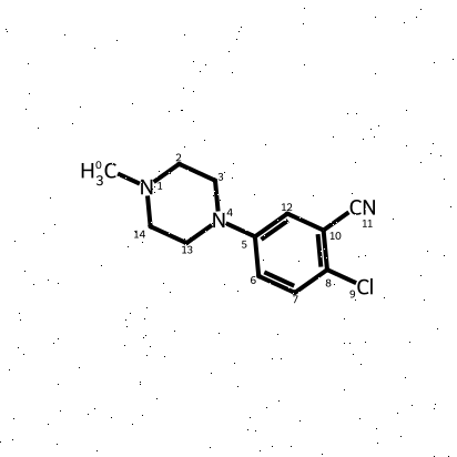 CN1CCN(c2ccc(Cl)c(C#N)c2)CC1